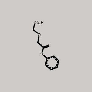 O=C(O)COCC(=O)Oc1ccccc1